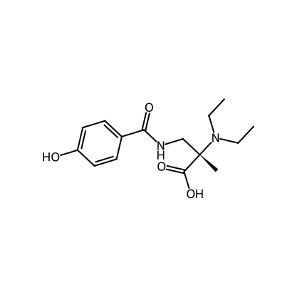 CCN(CC)[C@@](C)(CNC(=O)c1ccc(O)cc1)C(=O)O